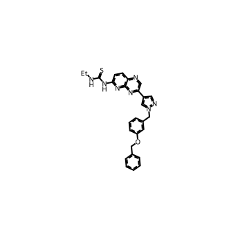 CCNC(=S)Nc1ccc2ncc(-c3cnn(Cc4cccc(OCc5ccccc5)c4)c3)nc2n1